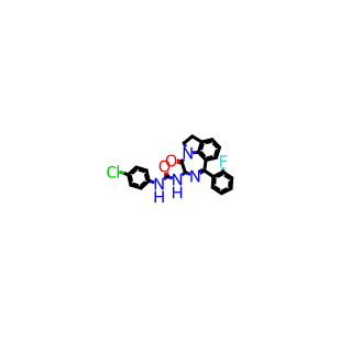 O=C(Nc1ccc(Cl)cc1)NC1N=C(c2ccccc2F)c2cccc3c2N(CC3)C1=O